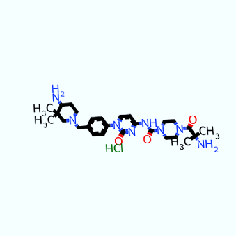 CC(C)(N)C(=O)N1CCN(C(=O)Nc2ccn(-c3ccc(CN4CCC(N)C(C)(C)C4)cc3)c(=O)n2)CC1.Cl